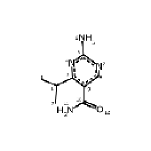 CC(C)c1nc(N)ncc1C(N)=O